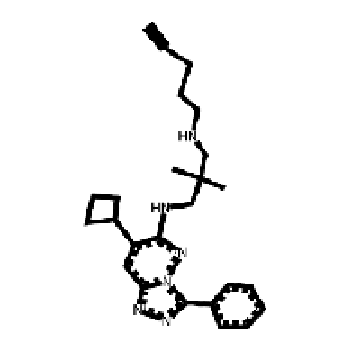 C#CCCCNCC(C)(C)CNc1nn2c(-c3ccccc3)nnc2cc1C1CCC1